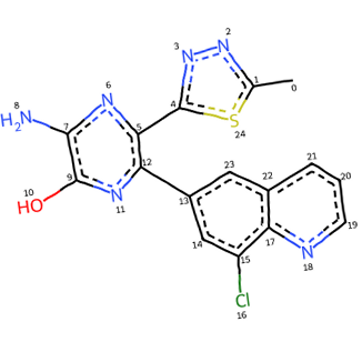 Cc1nnc(-c2nc(N)c(O)nc2-c2cc(Cl)c3ncccc3c2)s1